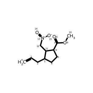 C=CCC1CCC(C(=O)OC)C1C[N+](=O)[O-]